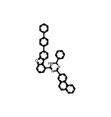 c1ccc(-c2ccc(-c3ccc4c(c3)oc3cccc(C5=NC(c6ccc7c(ccc8ccccc87)c6)=NC(c6ccccc6)N5)c34)cc2)cc1